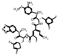 C=C/C=C(\C=C(/CF)C(=O)N[C@@H](C[C@H]1C=C(F)C=C(F)C1)C(=O)N(C)c1ccc2snnc2c1)C(=O)N[C@@H](Cc1cc(F)cc(F)c1)C(=O)N(C)c1ccc(SN)c(N)c1